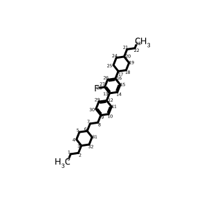 CCCC1CCC(CCc2ccc(-c3ccc(C4CCC(CCC)CC4)cc3F)cc2)CC1